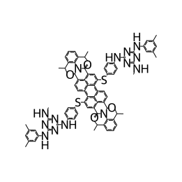 CNc1nc(Nc2ccc(Sc3cc4c5c(ccc6c7c(Sc8ccc(Nc9nc(NC)nc(Nc%10cc(C)cc(C)c%10)n9)cc8)cc8c9c(ccc(c3c56)c97)C(=O)N(c3c(C(C)C)cccc3C(C)C)C8=O)C(=O)N(c3c(C(C)C)cccc3C(C)C)C4=O)cc2)nc(Nc2cc(C)cc(C)c2)n1